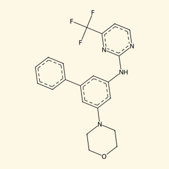 FC(F)(F)c1ccnc(Nc2cc(-c3ccccc3)cc(N3CCOCC3)c2)n1